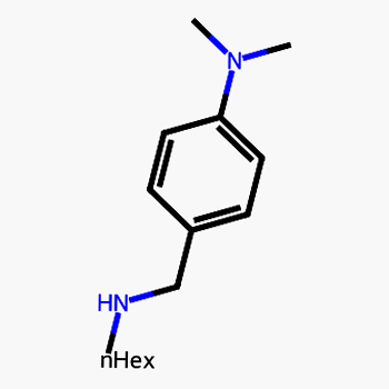 [CH2]CCCCCNCc1ccc(N(C)C)cc1